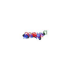 O=C1c2cc(N=Nc3c(O)c(CONc4cccc(Cl)c4)cc4ccccc34)ccc2-c2ccc(N=Nc3c(O)cc4c(=O)n5c6ccccc6nc5c5cccc3c45)cc21